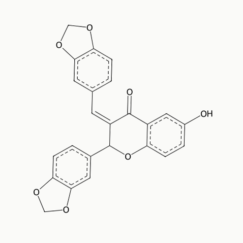 O=C1C(=Cc2ccc3c(c2)OCO3)C(c2ccc3c(c2)OCO3)Oc2ccc(O)cc21